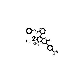 CC(C)(C)c1cc(-c2cccnc2OCc2ccccc2)c2oc(=O)c(-c3ccc([N+](=O)[O-])cc3)cc2c1